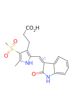 Cc1[nH]c(/C=C2\C(=O)Nc3ccccc32)c(CCC(=O)O)c1S(C)(=O)=O